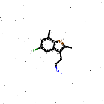 Cc1sc2c(C)cc(F)cc2c1CCN